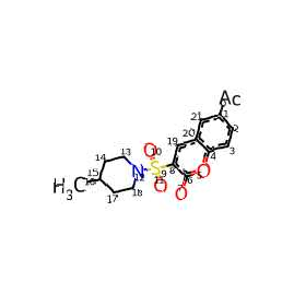 CC(=O)c1ccc2oc(=O)c(S(=O)(=O)N3CCC(C)CC3)cc2c1